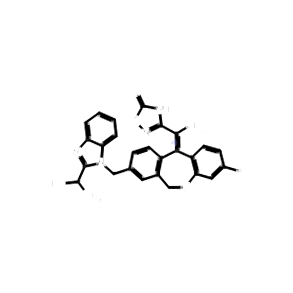 C/C(=C1/c2ccc(Cn3c(C(C)C)nc4ccccc43)cc2COc2cc(F)ccc21)c1noc(=O)[nH]1